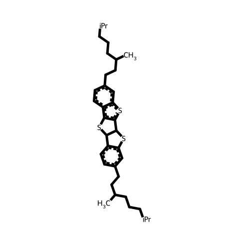 CC(C)CCCC(C)CCc1ccc2c(c1)SC1c3sc4cc(CCC(C)CCCC(C)C)ccc4c3SC21